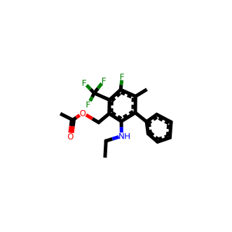 CCNc1c(COC(C)=O)c(C(F)(F)F)c(F)c(C)c1-c1ccccc1